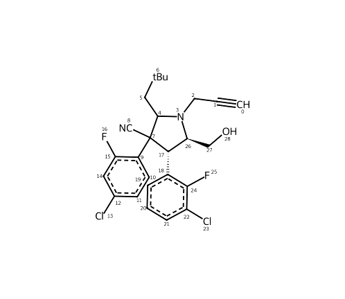 C#CCN1C(CC(C)(C)C)C(C#N)(c2ccc(Cl)cc2F)[C@@H](c2cccc(Cl)c2F)[C@@H]1CO